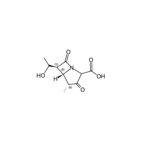 CC(O)[C@H]1C(=O)N2C(C(=O)O)C(=O)[C@H](C)[C@H]12